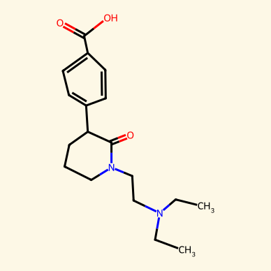 CCN(CC)CCN1CCCC(c2ccc(C(=O)O)cc2)C1=O